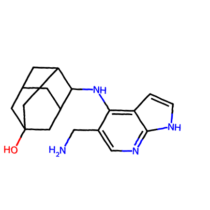 NCc1cnc2[nH]ccc2c1NC1C2CC3CC1CC(O)(C3)C2